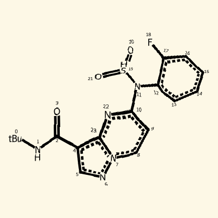 CC(C)(C)NC(=O)c1cnn2ccc(N(c3ccccc3F)[SH](=O)=O)nc12